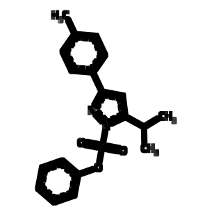 Cc1ccc(-c2cc(C(C)C)n(S(=O)(=O)Oc3ccccc3)n2)cc1